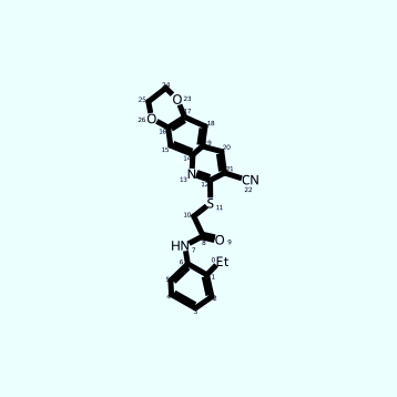 CCc1ccccc1NC(=O)CSc1nc2cc3c(cc2cc1C#N)OCCO3